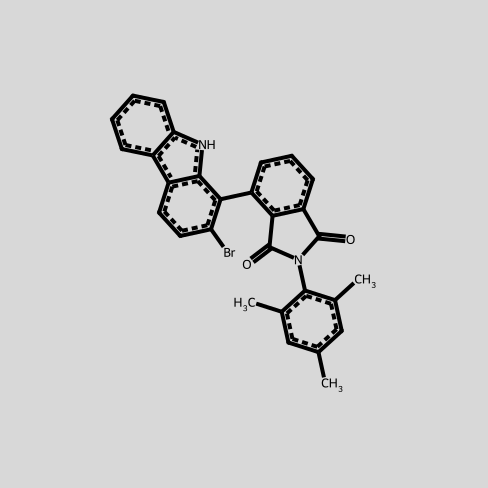 Cc1cc(C)c(N2C(=O)c3cccc(-c4c(Br)ccc5c4[nH]c4ccccc45)c3C2=O)c(C)c1